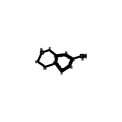 Oc1ccc2c(c1)COCC2